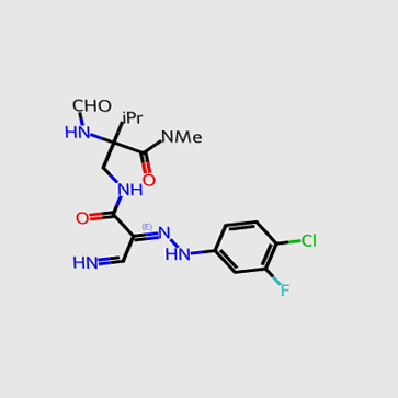 CNC(=O)C(CNC(=O)/C(C=N)=N/Nc1ccc(Cl)c(F)c1)(NC=O)C(C)C